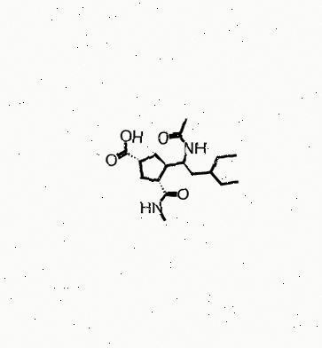 CCC(CC)C[C@H](NC(C)=O)[C@@H]1C[C@@H](C(=O)O)C[C@H]1C(=O)NC